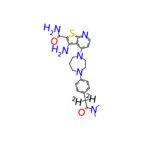 [2H]C([2H])(C(=O)N(C)C)c1ccc(N2CCCN(c3ccnc4sc(C(N)=O)c(N)c34)CC2)cc1